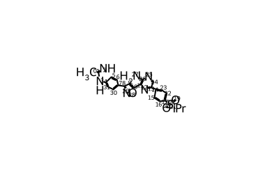 CC(=N)Nc1ccc(-c2cc(-c3nc(-c4ccc(S(=O)(=O)C(C)C)cc4)cnc3N)on2)cc1